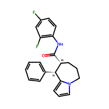 O=C(Nc1ccc(F)cc1F)[C@@H]1CCCn2cccc2[C@@H]1c1ccccc1